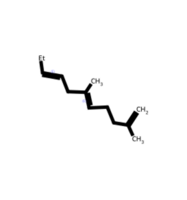 C=C(C)CC/C=C(\C)C/C=C/CC